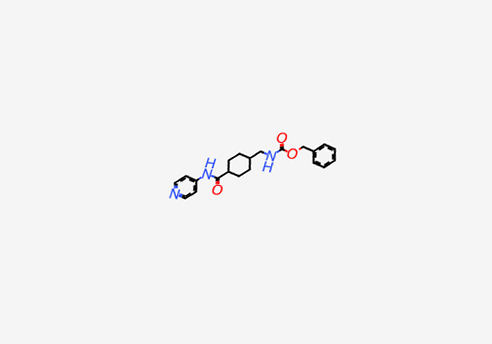 O=C(NCC1CCC(C(=O)Nc2ccncc2)CC1)OCc1ccccc1